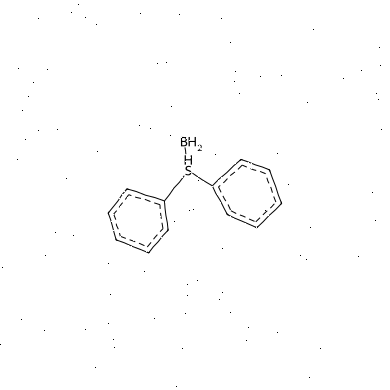 B[SH](c1ccccc1)c1ccccc1